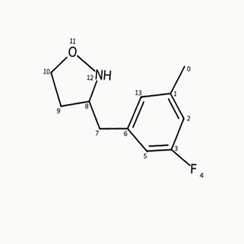 Cc1cc(F)cc(CC2CCON2)c1